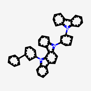 c1ccc(-c2cccc(-n3c4ccccc4c4ccc5c(c6ccccc6n5-c5cccc(-n6c7ccccc7c7ccccc76)c5)c43)c2)cc1